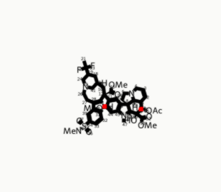 CC[C@]12C=CCN3CC[C@@]4(c5cc([C@@]6(C(=O)OC)C[C@H]7CC(C(C)(F)F)CN(CCc8c6[nH]c6ccc(S(=O)(=O)NC)cc86)C7)c(OC)cc5N(C)[C@H]4[C@@](O)(C(=O)OC)[C@@H]1OC(C)=O)[C@@H]32